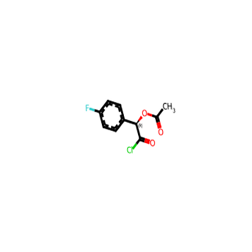 CC(=O)O[C@@H](C(=O)Cl)c1ccc(F)cc1